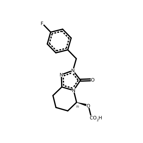 O=C(O)O[C@H]1CCCc2nn(Cc3ccc(F)cc3)c(=O)n21